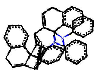 C1=C2c3c4c5c6c(c3C26c2ccccc2C1)N(c1ccccc1)C1(C5=CCc2ccccc21)N(c1ccccc1)c1ccc-4cc1